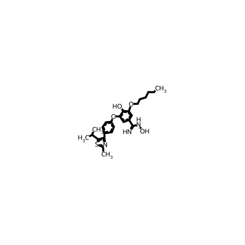 CCCCCCOc1cc(C(=N)NO)cc(Oc2ccc(-c3nc(C)sc3C(C)C)cc2)c1O